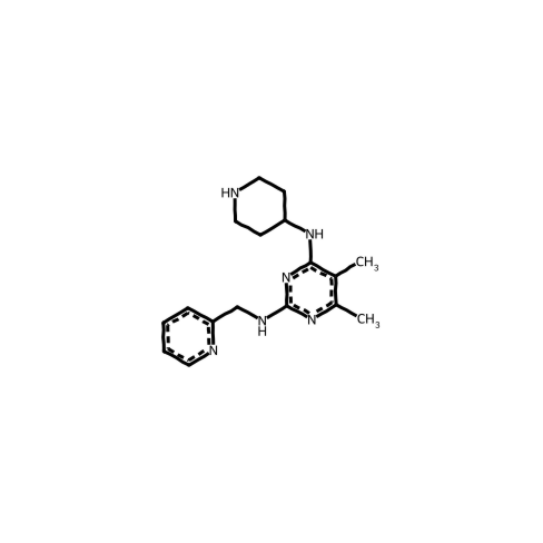 Cc1nc(NCc2ccccn2)nc(NC2CCNCC2)c1C